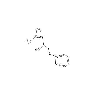 CC(C)=CC(O)CCc1ccccc1